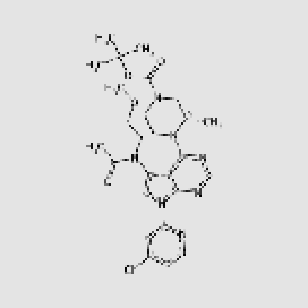 COCCN(C(C)=O)c1cn(-c2cc(Cl)ccn2)c2ncnc(N3CCN(C(=O)OC(C)(C)C)C[C@@H]3C)c12